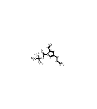 CC(C)(C)OC(=O)n1cc(CCN)cc1C=O